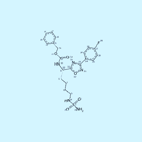 NS(=O)(=O)NCCCC[C@H](NC(=O)OCc1ccccc1)c1nc(-c2ccc(F)cc2)no1